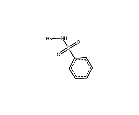 O=S(=O)(NS)c1ccccc1